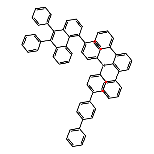 c1ccc(-c2ccc(-c3ccc(N(c4ccc(-c5cccc6c(-c7ccccc7)c(-c7ccccc7)c7ccccc7c56)cc4)c4c(-c5ccccc5)cccc4-c4ccccc4)cc3)cc2)cc1